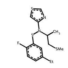 CCc1ccc(F)c(SN(c2cscn2)C(C)CSC)c1